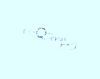 O=C(NNCc1ccc(C(F)(F)F)cn1)C12CCC(C1)C2